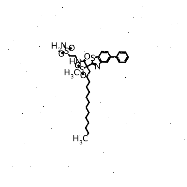 CCCCCCCCCCCCCCC(C(=O)NCCS(N)(=O)=O)(c1nc2cc(-c3ccccc3)ccc2s1)S(C)(=O)=O